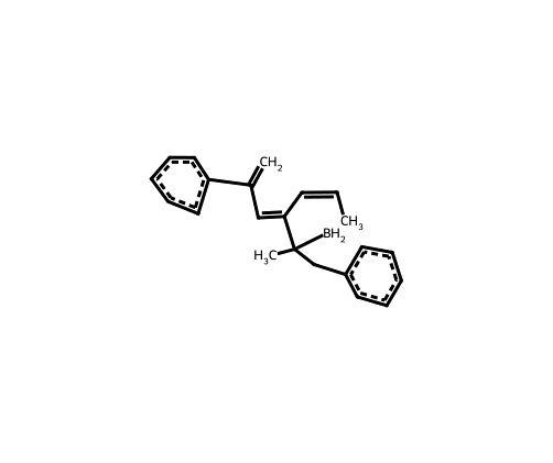 BC(C)(Cc1ccccc1)C(/C=C\C)=C/C(=C)c1ccccc1